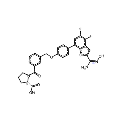 N/C(=N/O)c1cc2c(F)c(F)cc(-c3ccc(OCc4cccc(C(=O)N5CCC[C@H]5C(=O)O)c4)cc3)c2o1